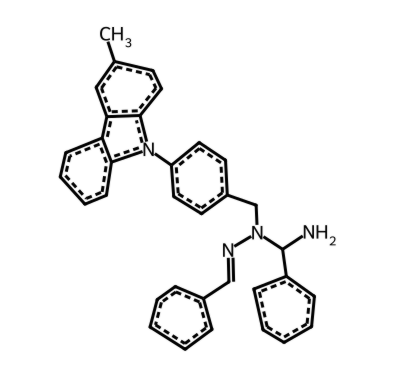 Cc1ccc2c(c1)c1ccccc1n2-c1ccc(CN(/N=C/c2ccccc2)C(N)c2ccccc2)cc1